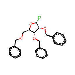 Cl[C@H]1O[C@H](COCc2ccccc2)[C@@H](OCc2ccccc2)[C@@H]1OCc1ccccc1